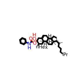 CCCCCCC1C[C@@]2(C)C(=CC[C@H]3[C@@H]4CC[C@H]([C@H](C)CCCC(C)C)[C@@]4(C)CC[C@@H]32)CC1(O)OC(=O)Nc1ccccc1